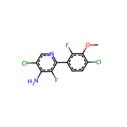 COc1c(Cl)ccc(-c2ncc(Cl)c(N)c2F)c1F